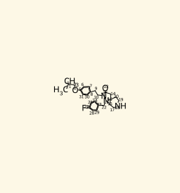 CC(C)COc1ccc(CCN2C(=O)CC3(CCNCC3)N2Cc2ccc(F)cc2)cc1